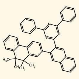 CC1(C)c2ccccc2-c2ccc(-c3cc4ccccc4cc3-c3nc(-c4ccccc4)nc(-c4ccccc4)n3)cc2C1(C)C